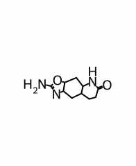 NC1=NC2CC3CCC(=O)NC3CC2O1